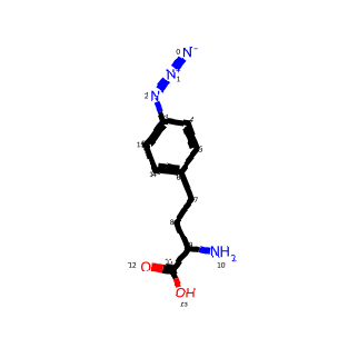 [N-]=[N+]=Nc1ccc(CCC(N)C(=O)O)cc1